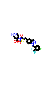 O=C1S/C(=C\c2ccc3c(cnn3Cc3ccc(Cl)cc3C(F)(F)F)c2)C(=O)N1C1(C(=O)O)CCNCC1